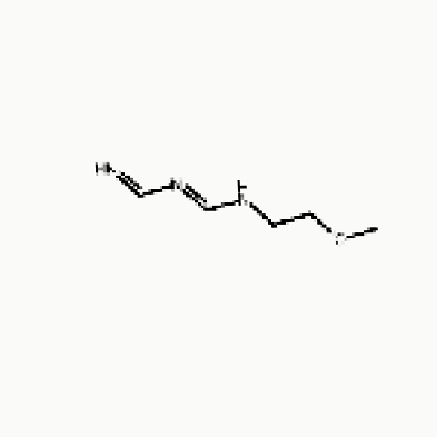 COCCN/C=N/C=N